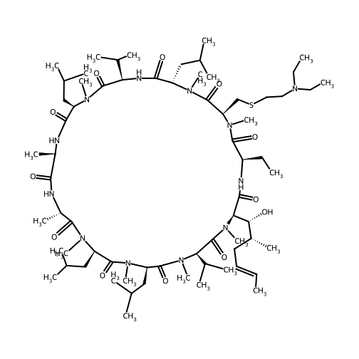 C/C=C/C[C@@H](C)[C@@H](O)[C@@H]1C(=O)N[C@H](CC)C(=O)N(C)[C@H](CSCCN(CC)CC)C(=O)N(C)[C@@H](CC(C)C)C(=O)N[C@H](C(C)C)C(=O)N(C)[C@H](CC(C)C)C(=O)N[C@H](C)C(=O)N[C@@H](C)C(=O)N(C)[C@H](CC(C)C)C(=O)N(C)[C@H](CC(C)C)C(=O)N(C)[C@H](C(C)C)C(=O)N1C